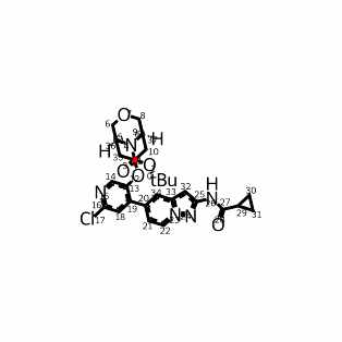 CC(C)(C)OC(=O)N1[C@@H]2COC[C@H]1CC(Oc1cnc(Cl)cc1-c1ccn3nc(NC(=O)C4CC4)cc3c1)C2